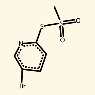 CS(=O)(=O)Sc1ccc(Br)cn1